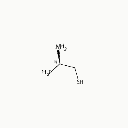 N[C@H](P)CS